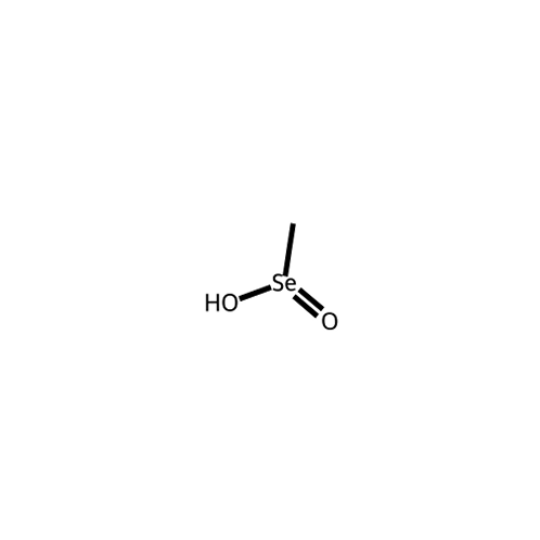 C[Se](=O)O